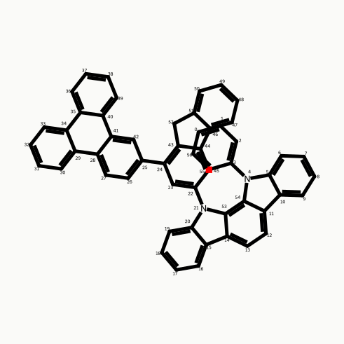 c1ccc(-n2c3ccccc3c3ccc4c5ccccc5n(-c5cc(-c6ccc7c8ccccc8c8ccccc8c7c6)c6c(c5)-c5ccccc5C6)c4c32)cc1